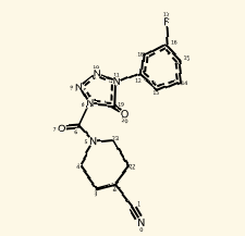 N#CC1CCN(C(=O)n2nnn(-c3cccc(F)c3)c2=O)CC1